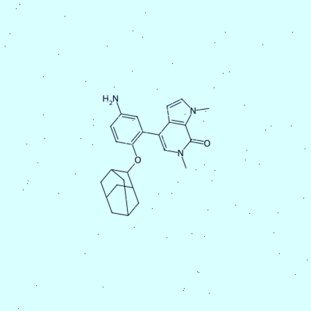 Cn1cc(-c2cc(N)ccc2OC2C3CC4CC(C3)CC2C4)c2ccn(C)c2c1=O